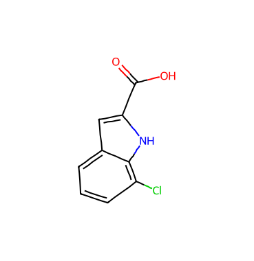 O=C(O)c1cc2cccc(Cl)c2[nH]1